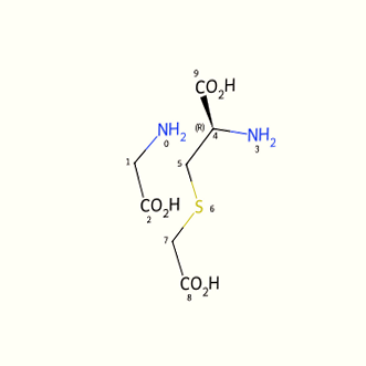 NCC(=O)O.N[C@@H](CSCC(=O)O)C(=O)O